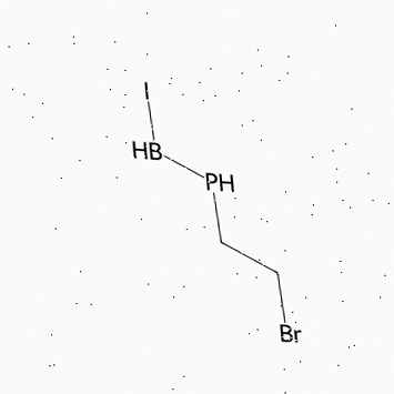 BrCCPBI